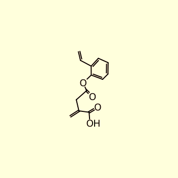 C=Cc1ccccc1OC(=O)CC(=C)C(=O)O